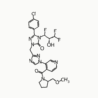 COCC1CCCN1C(=O)c1ccncc1-n1cnc(Cn2nc(-c3ccc(Cl)cc3)n(C(F)[C@H](O)C(F)F)c2=O)n1